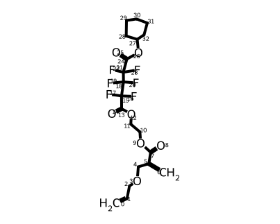 C=CCOCC(=C)C(=O)OCCOC(=O)C(F)(F)C(F)(F)C(F)(F)C(=O)OC1CCCCC1